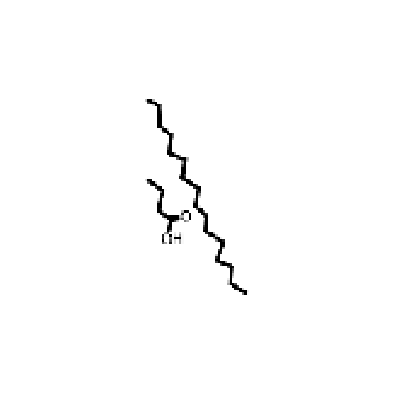 CCCC(=O)O.CCCCCCCCCCCCCCCC